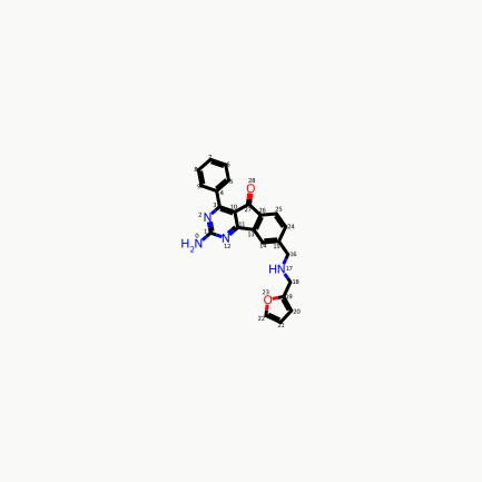 Nc1nc(-c2ccccc2)c2c(n1)-c1cc(CNCc3ccco3)ccc1C2=O